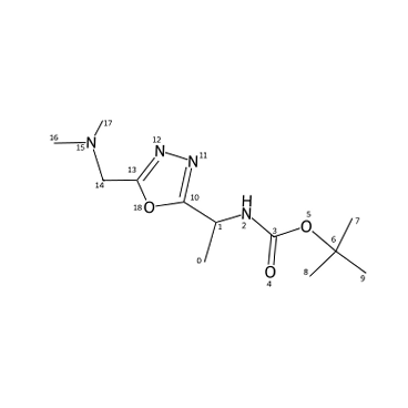 CC(NC(=O)OC(C)(C)C)c1nnc(CN(C)C)o1